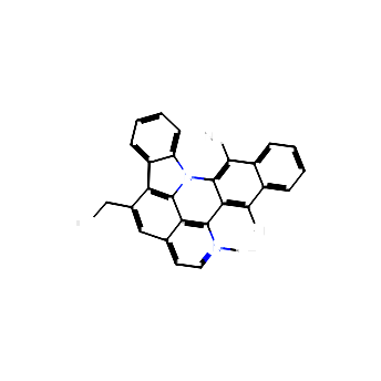 Cc1c2ccccc2c(C#N)c2c1c1c3c(cc[n+]1C)cc(CC(C)C)c1c4ccccc4n2c13